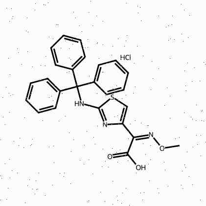 CO/N=C(\C(=O)O)c1csc(NC(c2ccccc2)(c2ccccc2)c2ccccc2)n1.Cl